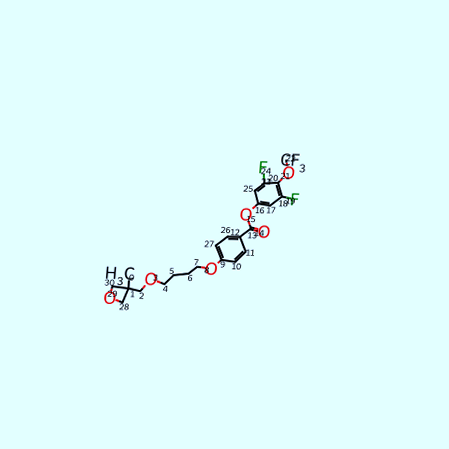 CC1(COCCCCOc2ccc(C(=O)Oc3cc(F)c(OC(F)(F)F)c(F)c3)cc2)COC1